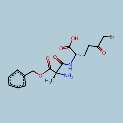 C[C@](N)(C(=O)N[C@@H](CCC(=O)CBr)C(=O)O)C(=O)OCc1ccccc1